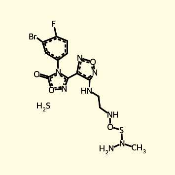 CN(N)SONCCNc1nonc1-c1noc(=O)n1-c1ccc(F)c(Br)c1.S